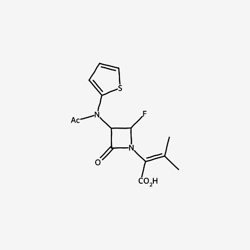 CC(=O)N(c1cccs1)C1C(=O)N(C(C(=O)O)=C(C)C)C1F